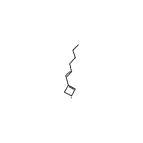 CCCCC=CC1=C[CH]C1